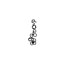 O=C(COc1ccc([S+]2CCCC2)cc1)OC1C2CC3C1OS(=O)(=O)C3C2